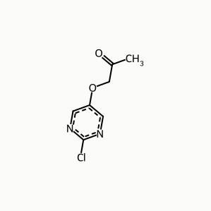 CC(=O)COc1cnc(Cl)nc1